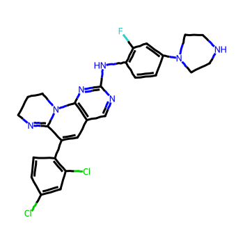 Fc1cc(N2CCNCC2)ccc1Nc1ncc2c(n1)N1CCCN=C1C(c1ccc(Cl)cc1Cl)=C2